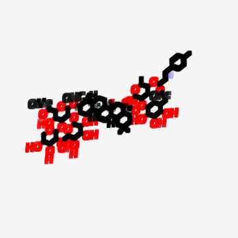 COC(=O)C1OC(O[C@H]2CC[C@]3(C)[C@H]4C=CC5[C@@H]6CC(C)(C)CC[C@]6(C(=O)OC6OC(C)C(OC(=O)/C=C/c7ccc(C)cc7)C(OC(C)=O)C6OC6CC(C)C(O)C(O)C6O)[C@H](O)C[C@@]5(C)[C@]4(C)CC[C@H]3[C@]2(C)C=O)C(OC2OC(CO)C(O)C(O)C2O)C(OC2OCC(O)C(O)C2O)C1O